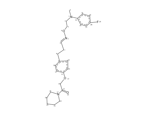 CN(CCON=CCCc1ccc(OCC(=O)N2CCCCC2)cc1)c1ccc(F)cc1